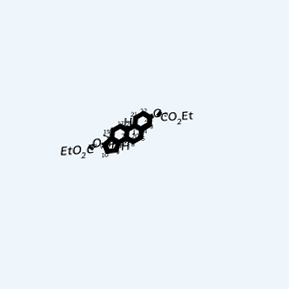 CCOC(=O)OC1C=C2CC[C@H]3[C@@H]4CC[C@H](OC(=O)OCC)[C@@]4(C)CC[C@@H]3[C@@]2(C)CC1